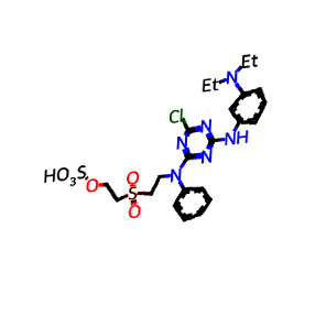 CCN(CC)c1cccc(Nc2nc(Cl)nc(N(CCS(=O)(=O)CCOS(=O)(=O)O)c3ccccc3)n2)c1